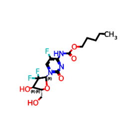 CCCCCOC(=O)Nc1nc(=O)n([C@@H]2O[C@H](CO)[C@@H](O)C2(F)F)cc1F